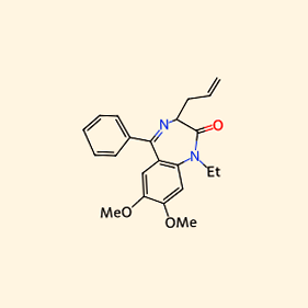 C=CCC1N=C(c2ccccc2)c2cc(OC)c(OC)cc2N(CC)C1=O